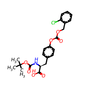 CC(C)(C)OC(=O)N[C@@H](Cc1ccc(OC(=O)OCc2ccccc2Cl)cc1)C(=O)O